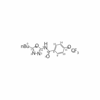 CCCCc1nnc(NC(=O)c2ccc(OC(F)(F)F)cc2)o1